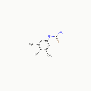 Cc1cc(NC(N)=S)cc(C)c1C